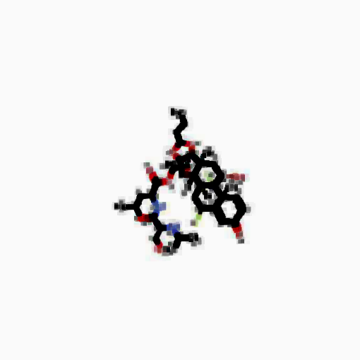 CCCC1O[C@@H]2C[C@H]3[C@@H]4C[C@H](F)C5=CC(=O)C=C[C@]5(C)[C@@]4(F)[C@@H](O)C[C@]3(C)[C@]2(C(=O)COC(=O)[C@H](CC(C)C)NC(=O)[C@H](CO)NC(C)C)O1